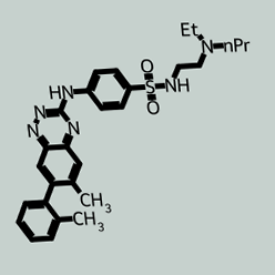 CCCN(CC)CCNS(=O)(=O)c1ccc(Nc2nnc3cc(-c4ccccc4C)c(C)cc3n2)cc1